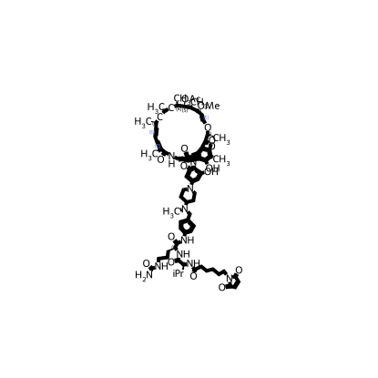 CO[C@H]1/C=C/O[C@@]2(C)Oc3c(C)c(O)c4c(=O)c(c5oc6cc(N7CCC(N(C)Cc8ccc(NC(=O)[C@H](CCCNC(N)=O)NC(=O)[C@@H](NC(=O)CCCCCN9C(=O)C=CC9=O)C(C)C)cc8)CC7)cc(O)c6nc-5c4c3C2=O)NC(=O)/C(C)=C\C=C\[C@H](C)C[C@@H](C)C[C@@H](C)[C@H](OC(C)=O)[C@@H]1C